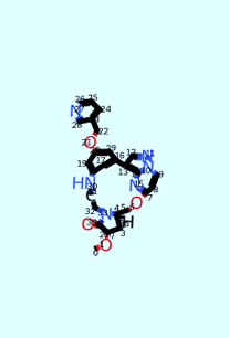 CO[C@@H]1C[C@H]2COc3ccn4ncc(c4n3)-c3cc(cc(OCc4cccnc4)c3)NCCN2C1=O